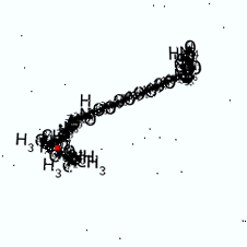 Cc1cc(C)c(CNC(=O)c2cc(-c3ccc(N4CCN(CCNC(=O)CCOCCOCCOCCOCCOCCOCCOCCOCCNc5cccc6c5C(=O)N(C5CCC(=O)NC5=O)C6=O)CC4)nc3)cc3c2cnn3C(C)C)c(=O)[nH]1